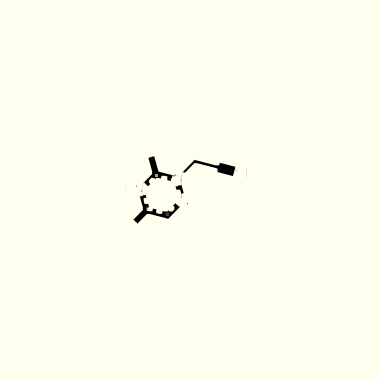 C#CCn1ncc(=O)[nH]c1=O